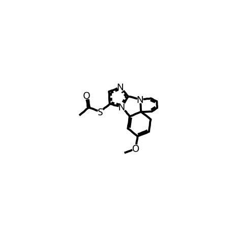 COC1=CCC23C=CC=CN2c2ncc(SC(C)=O)n2C3=C1